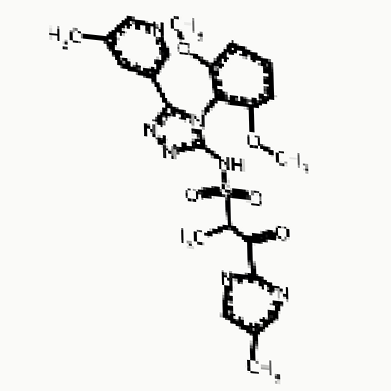 COc1cccc(OC)c1-n1c(NS(=O)(=O)C(C)C(=O)c2ncc(C)cn2)nnc1-c1cncc(C)c1